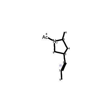 C/C=C/C1CC(C)N(C(C)=O)C1